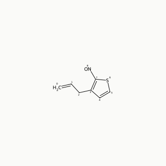 C=CCc1ccsc1N=O